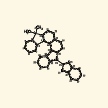 CC1(C)c2ccccc2-c2c1ccc1ccc3c(c4ccccc4n3-c3nc4ccccc4s3)c21